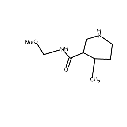 COCNC(=O)C1CNCCC1C